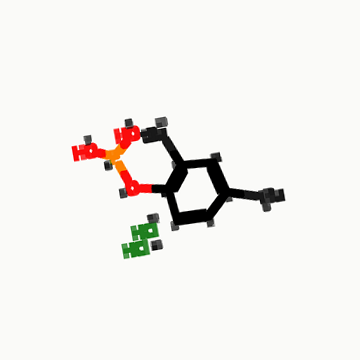 CC(C)(C)c1ccc(OP(O)O)c(C(C)(C)C)c1.Cl.Cl